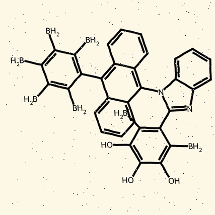 Bc1c(B)c(B)c(-c2c3ccccc3c(-n3c(-c4c(B)c(O)c(O)c(O)c4B)nc4ccccc43)c3ccccc23)c(B)c1B